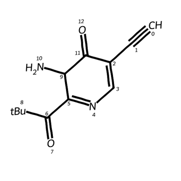 C#CC1=CN=C(C(=O)C(C)(C)C)C(N)C1=O